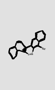 CSc1c(-c2cc3ccccc3c(Br)c2F)ccc2ccccc12